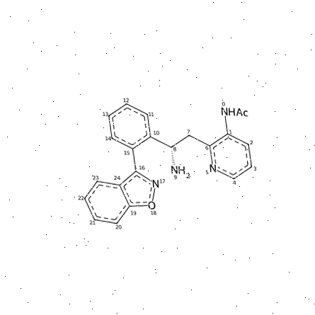 CC(=O)Nc1cccnc1C[C@H](N)c1ccccc1-c1noc2ccccc12